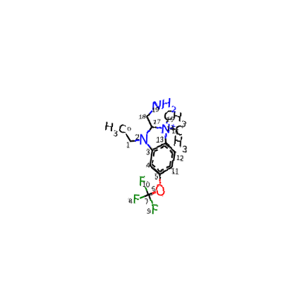 CCN1c2cc(OC(F)(F)F)ccc2[N+](C)(C)C1CN